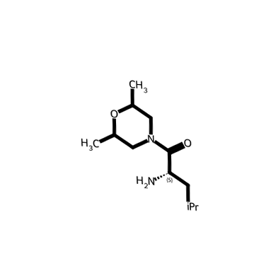 CC(C)C[C@H](N)C(=O)N1CC(C)OC(C)C1